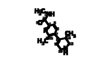 CNC(=O)c1ccc(C2=CCNCC2C)c(C)n1